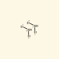 C[CH2][AlH][CH2]C.C[CH2][AlH][CH2]C